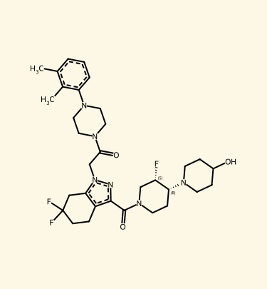 Cc1cccc(N2CCN(C(=O)Cn3nc(C(=O)N4CC[C@@H](N5CCC(O)CC5)[C@@H](F)C4)c4c3CC(F)(F)CC4)CC2)c1C